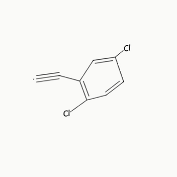 [C]#Cc1cc(Cl)ccc1Cl